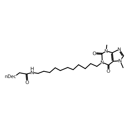 CCCCCCCCCCCC(=O)NCCCCCCCCCCCn1c(=O)c2c(ncn2C)n(C)c1=O